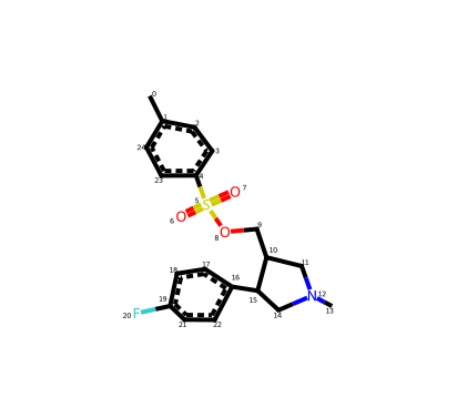 Cc1ccc(S(=O)(=O)OCC2CN(C)CC2c2ccc(F)cc2)cc1